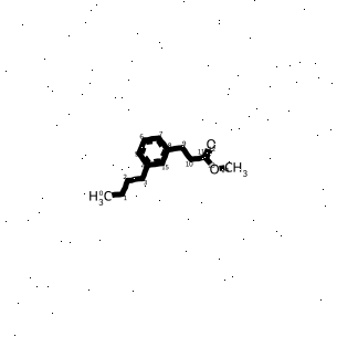 CCCCc1cccc(CCC(=O)OC)c1